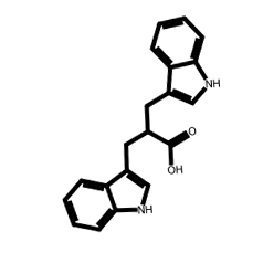 O=C(O)C(Cc1c[nH]c2ccccc12)Cc1c[nH]c2ccccc12